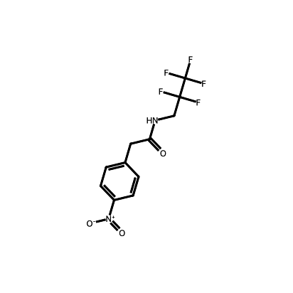 O=C(Cc1ccc([N+](=O)[O-])cc1)NCC(F)(F)C(F)(F)F